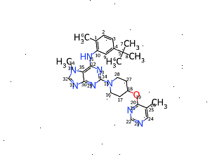 Cc1ccc(C(C)(C)C)cc1Nc1nc(N2CCC(Oc3ncncc3C)CC2)nc2ncn(C)c12